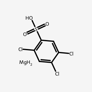 O=S(=O)(O)c1cc(Cl)c(Cl)cc1Cl.[MgH2]